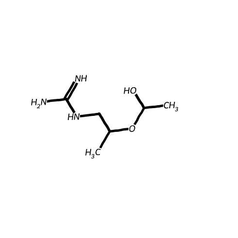 CC(O)OC(C)CNC(=N)N